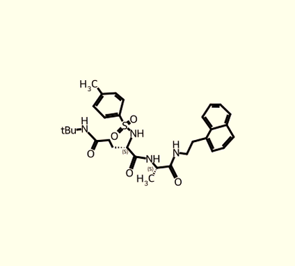 Cc1ccc(S(=O)(=O)N[C@@H](CCC(=O)NC(C)(C)C)C(=O)N[C@@H](C)C(=O)NCCc2cccc3ccccc23)cc1